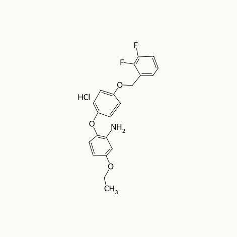 CCOc1ccc(Oc2ccc(OCc3cccc(F)c3F)cc2)c(N)c1.Cl